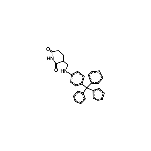 O=C1CCC(CNc2ccc(C(c3ccccc3)(c3ccccc3)c3ccccc3)cc2)C(=O)N1